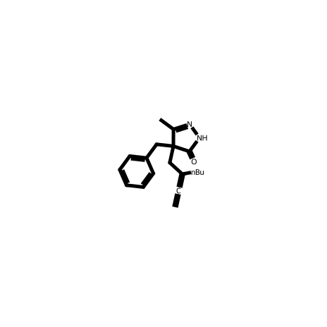 C=C=C(CCCC)CC1(Cc2ccccc2)C(=O)NN=C1C